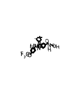 C[C@@H]1C[C@H](n2c(Nc3ccc(OC(F)(F)F)cc3)nc3ccc(C(=O)NCCO)cc32)CC(C)(C)C1